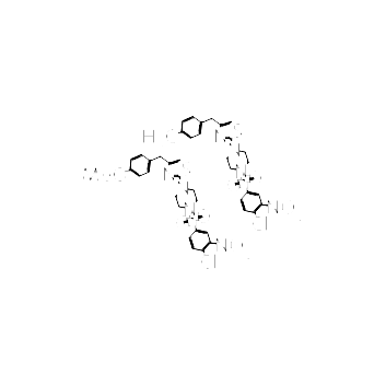 COc1ccc(Cc2csc(N3CCN(S(=O)(=O)c4ccc(Cl)c([N+](=O)[O-])c4)CC3)n2)cc1.Cc1ccc(Cc2csc(N3CCN(S(=O)(=O)c4ccc(Cl)c([N+](=O)[O-])c4)CC3)n2)cc1